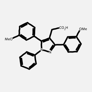 COc1cccc(-c2nn(-c3ccccc3)c(-c3cccc(OC)c3)c2CC(=O)O)c1